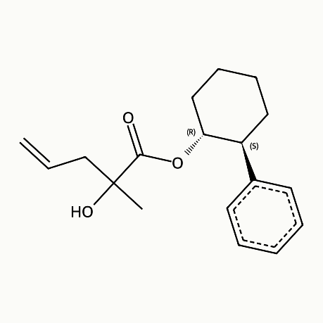 C=CCC(C)(O)C(=O)O[C@@H]1CCCC[C@H]1c1ccccc1